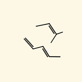 C=C/C=C/C.CC=C(C)C